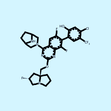 Oc1cc(Cl)c(C(F)(F)F)cc1-c1c(F)cc2c(N3CC4CCC(C3)N4)nc(OC[C@@]34CCCN3C[C@H](F)C4)nc2c1F